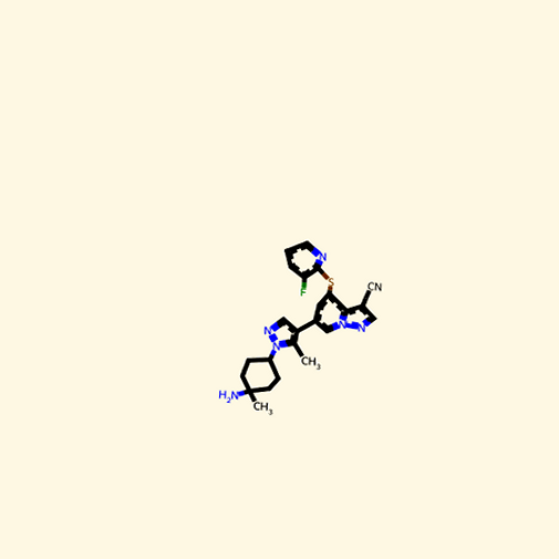 Cc1c(-c2cc(Sc3ncccc3F)c3c(C#N)cnn3c2)cnn1C1CCC(C)(N)CC1